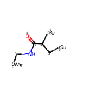 COCNC(=O)C(CC(C)(C)C)C(C)(C)C